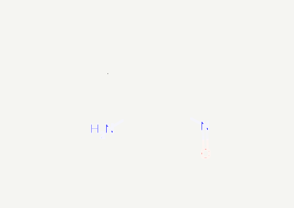 CC(C)(C)c1ccc(N=O)cc1N